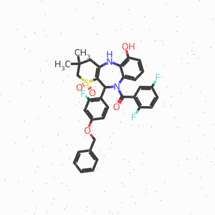 CC1(C)CC2=C(C(c3ccc(OCc4ccccc4)cc3F)N(C(=O)c3cc(F)ccc3F)c3cccc(O)c3N2)S(=O)(=O)C1